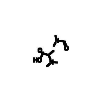 CC(C(=O)O)N(C)C.CN(C)C=O